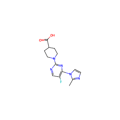 Cc1nccn1-c1nc(N2CCC(C(=O)O)CC2)ncc1F